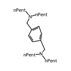 CCCCCN(CCCCC)Cc1ccc(CN(CCCCC)CCCCC)cc1